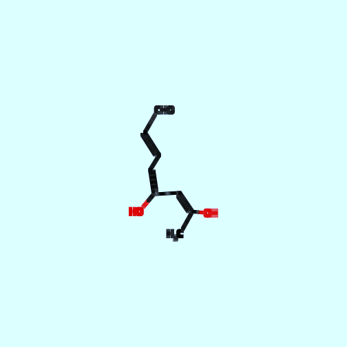 C\C(O)=C/C(O)=C\C=C\C=O